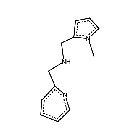 Cn1cccc1CNCc1ccccn1